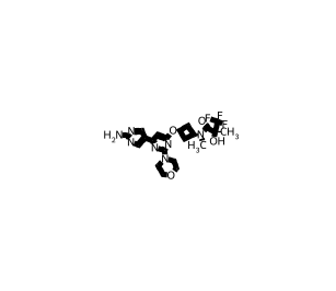 CN(C(=O)[C@](C)(O)C(F)(F)F)[C@H]1C[C@H](Oc2cc(-c3cnc(N)nc3)nc(N3CCOCC3)n2)C1